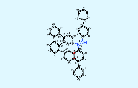 c1ccc(-c2ccc(NN(c3ccc(-c4ccccc4)cc3)c3ccc(-c4ccccc4)c(-c4ccccc4)c3-c3ccccc3)cc2)cc1